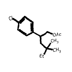 CCC(C)(C)CC(COC(C)=O)c1ccc(Cl)cc1